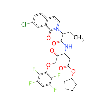 CCC(C(=O)NC(CC(=O)OC1CCCC1)C(=O)COc1c(F)c(F)cc(F)c1F)n1ccc2ccc(Cl)cc2c1=O